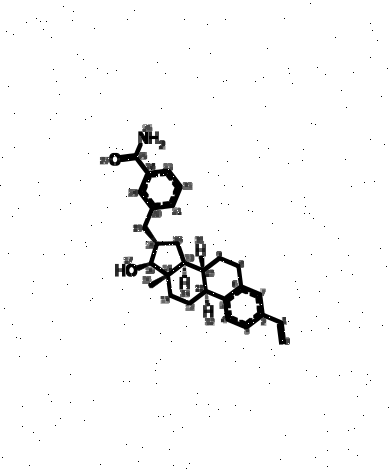 C=Cc1ccc2c(c1)CC[C@@H]1[C@@H]2CC[C@]2(C)[C@@H](O)[C@@H](Cc3cccc(C(N)=O)c3)C[C@@H]12